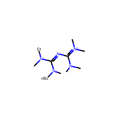 CCCCN(C)/C(=N\C(N(C)C)=[N+](C)C)N(C)CC